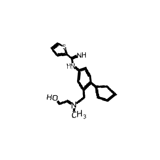 CN(CCO)Cc1cc(NC(=N)c2cccs2)ccc1C1CCCC1